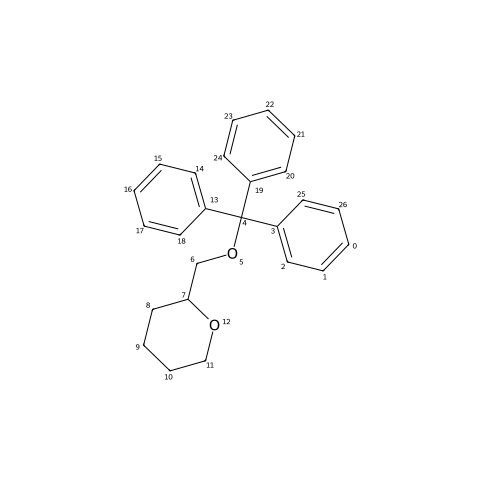 c1ccc(C(OCC2CCCCO2)(c2ccccc2)c2ccccc2)cc1